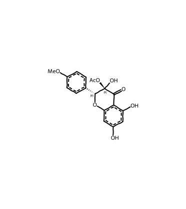 COc1ccc([C@H]2Oc3cc(O)cc(O)c3C(=O)[C@]2(O)OC(C)=O)cc1